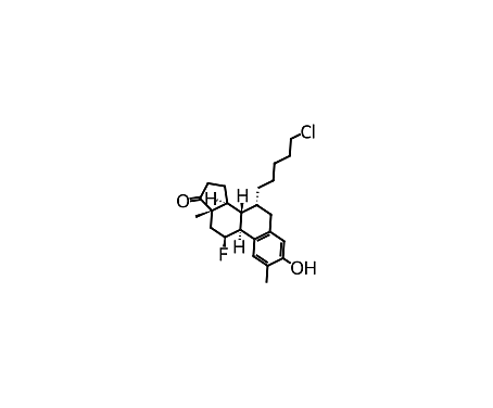 Cc1cc2c(cc1O)C[C@@H](CCCCCCl)[C@@H]1[C@@H]2[C@@H](F)C[C@]2(C)C(=O)CC[C@@H]12